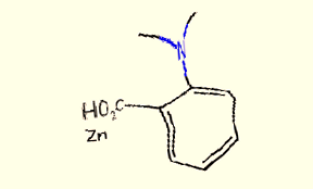 CN(C)c1ccccc1C(=O)O.[Zn]